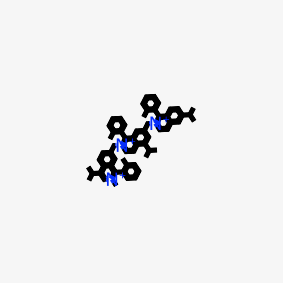 Cc1ccccc1-c1c2cc(C[n+]3ccc4c(C(C)C)cc(C[n+]5ccc6cc(C(C)C)ccc6c5-c5ccccc5C)cc4c3-c3ccccc3C)ccc2c(C(C)C)c[n+]1C